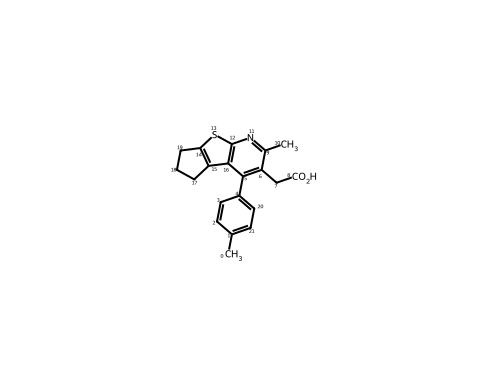 Cc1ccc(-c2c(CC(=O)O)c(C)nc3sc4c(c23)CCC4)cc1